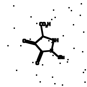 CC(C)(C)N1NC(C(=O)O)C(=O)C1=O